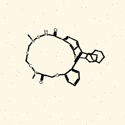 CN1CCCCN(C)C(=O)COc2ccccc2-c2c(C3CCCCC3)c3ccc(cc3n2C2CCCC2)C(=O)NS1